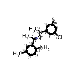 C/C(=N\N(C)c1cc(Cl)cc(Cl)c1)c1cc(C)ccc1N